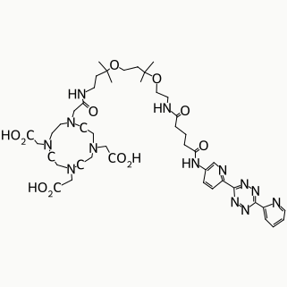 CC(C)(CCNC(=O)CN1CCN(CC(=O)O)CCN(CC(=O)O)CCN(CC(=O)O)CC1)OCCC(C)(C)OCCNC(=O)CCCC(=O)Nc1ccc(-c2nnc(-c3ccccn3)nn2)nc1